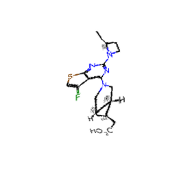 C[C@H]1CCN1c1nc(N2C[C@@H]3[C@@H](CC(=O)O)[C@@H]3C2)c2c(F)csc2n1